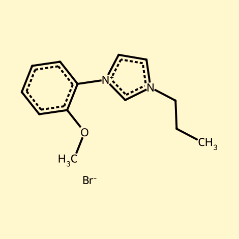 CCCn1cc[n+](-c2ccccc2OC)c1.[Br-]